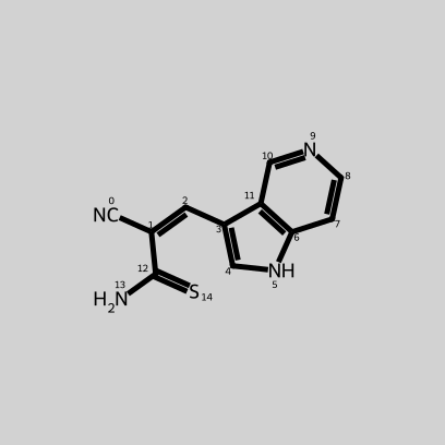 N#CC(=Cc1c[nH]c2ccncc12)C(N)=S